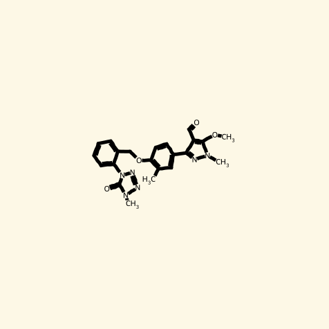 COc1c(C=O)c(-c2ccc(OCc3ccccc3-n3nnn(C)c3=O)c(C)c2)nn1C